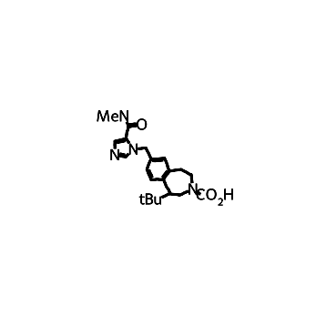 CNC(=O)c1cncn1Cc1ccc2c(c1)CCN(C(=O)O)CC2C(C)(C)C